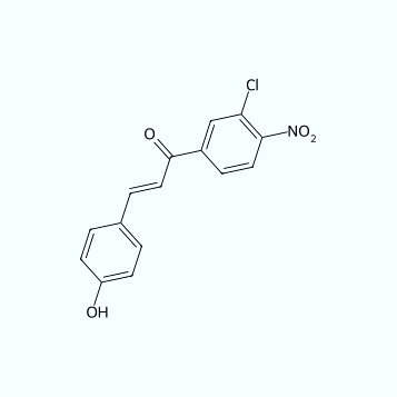 O=C(C=Cc1ccc(O)cc1)c1ccc([N+](=O)[O-])c(Cl)c1